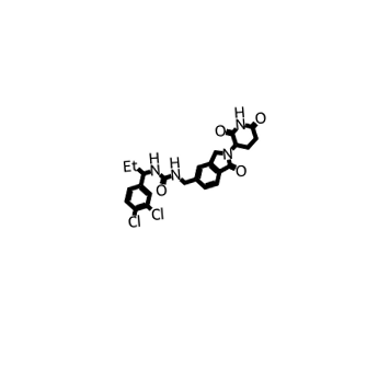 CCC(NC(=O)NCc1ccc2c(c1)CN(C1CCC(=O)NC1=O)C2=O)c1ccc(Cl)c(Cl)c1